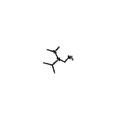 CC(C)N(CN)N(C)C